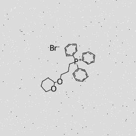 [Br-].c1ccc([P+](CCCOC2CCCCO2)(c2ccccc2)c2ccccc2)cc1